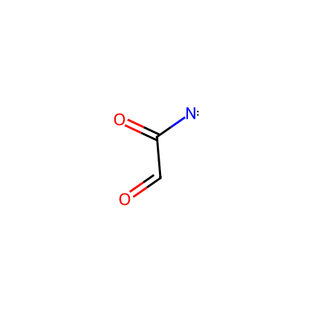 [N]C(=O)C=O